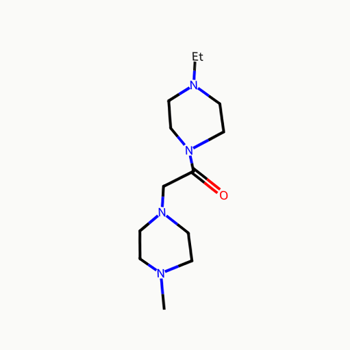 CCN1CCN(C(=O)CN2CCN(C)CC2)CC1